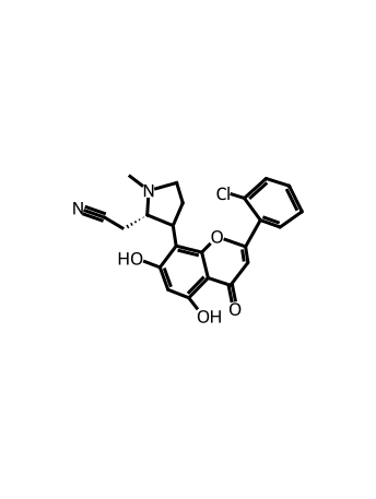 CN1CCC(c2c(O)cc(O)c3c(=O)cc(-c4ccccc4Cl)oc23)[C@@H]1CC#N